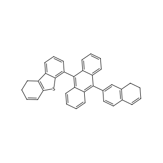 C1=Cc2ccc(-c3c4ccccc4c(-c4cccc5c6c(sc45)C=CCC6)c4ccccc34)cc2CC1